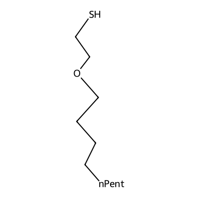 CCCCCCCCCOCCS